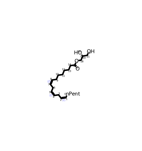 CCCCC/C=C\C/C=C\C/C=C\CCCCCCC(=O)OC[C@@H](O)CO